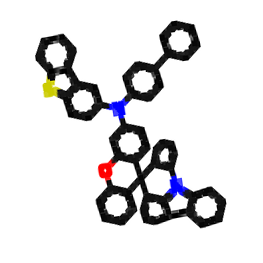 c1ccc(-c2ccc(N(c3ccc4c(c3)Oc3ccccc3C43c4ccccc4-n4c5ccccc5c5cccc3c54)c3ccc4sc5ccccc5c4c3)cc2)cc1